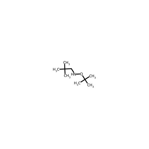 CC(C)(C)CNOC(C)(C)C